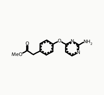 COC(=O)Cc1ccc(Oc2ccnc(N)n2)cc1